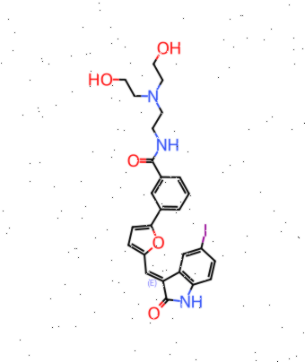 O=C1Nc2ccc(I)cc2/C1=C\c1ccc(-c2cccc(C(=O)NCCN(CCO)CCO)c2)o1